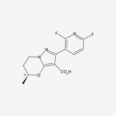 C[C@H]1CCn2nc(-c3ccc(F)nc3F)c(C(=O)O)c2O1